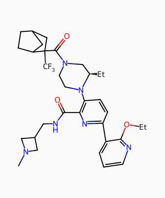 CCOc1ncccc1-c1ccc(N2CCN(C(=O)C3(C(F)(F)F)CC4CCC3C4)C[C@H]2CC)c(C(=O)NCC2CN(C)C2)n1